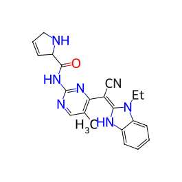 CCN1/C(=C(\C#N)c2nc(NC(=O)C3C=CCN3)ncc2C)Nc2ccccc21